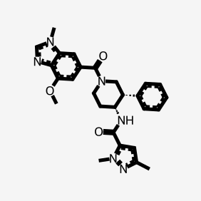 COc1cc(C(=O)N2CC[C@@H](NC(=O)c3cc(C)nn3C)[C@@H](c3ccccc3)C2)cc2c1ncn2C